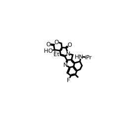 CC[C@]1(O)C(=O)OCc2c1cc1n(c2=O)Cc2c-1nc1cc(F)c(C)c3c1c2C(NC(C)C)CC3